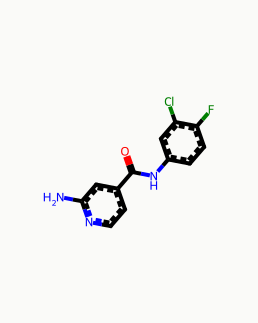 Nc1cc(C(=O)Nc2ccc(F)c(Cl)c2)ccn1